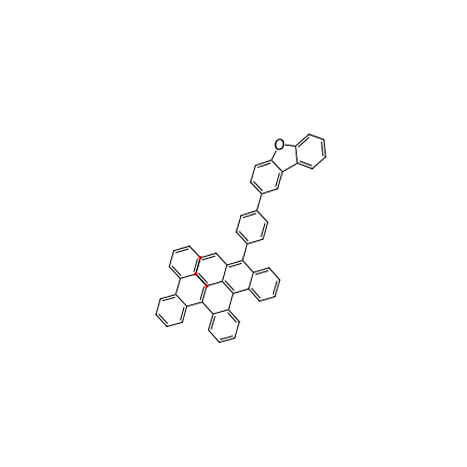 c1ccc(-c2cc3ccccc3c3ccccc23)c(-c2c3ccccc3c(-c3ccc(-c4ccc5oc6ccccc6c5c4)cc3)c3ccccc23)c1